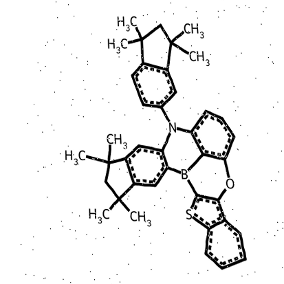 CC1(C)CC(C)(C)c2cc(N3c4cc5c(cc4B4c6sc7ccccc7c6Oc6cccc3c64)C(C)(C)CC5(C)C)ccc21